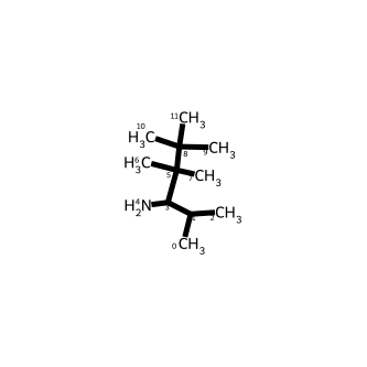 CC(C)C(N)C(C)(C)C(C)(C)C